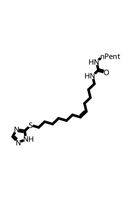 CCCCCNC(=O)NCCCC/C=C\CCCCCCSc1ncn[nH]1